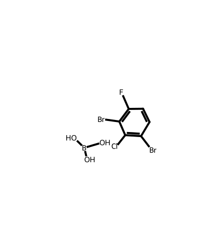 Fc1ccc(Br)c(Cl)c1Br.OB(O)O